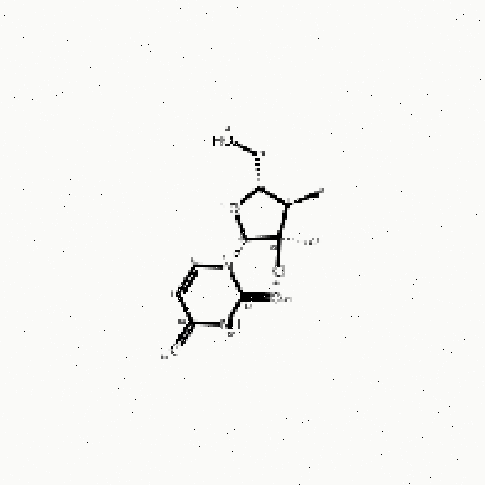 C[C@@H]1[C@@H](CO)O[C@@H](n2ccc(=O)[nH]c2=O)[C@]1(C)Cl